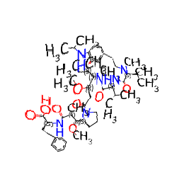 CC[C@H](C)[C@@H]([C@@H](CC(=O)N1CCC[C@H]1[C@H](OC)[C@@H](C)C(=O)N[C@@H](Cc1ccccc1)C(=O)O)OC)N(C)C(=O)[C@@H](NC(=O)[C@H](C(C)C)N(C)CCc1ccc(NC(C)C)cc1)C(C)C